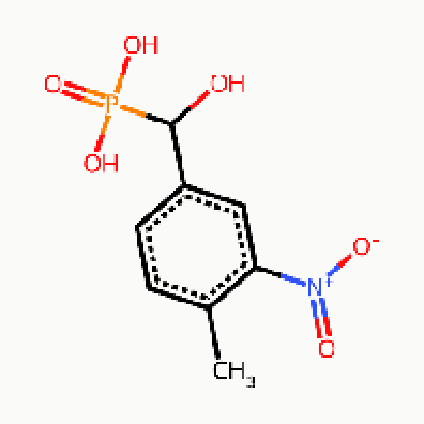 Cc1ccc(C(O)P(=O)(O)O)cc1[N+](=O)[O-]